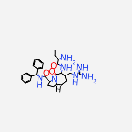 CC[C@H](N)C(=O)N[C@@H]1C(=O)N2[C@@H](CC[C@@H]1CNC(=N)N)CC[C@H]2C(=O)NC(c1ccccc1)c1ccccc1